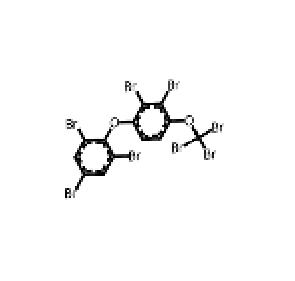 Brc1cc(Br)c(Oc2ccc(OC(Br)(Br)Br)c(Br)c2Br)c(Br)c1